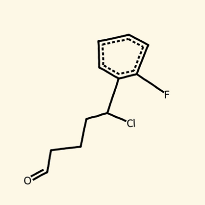 O=CCCCC(Cl)c1ccccc1F